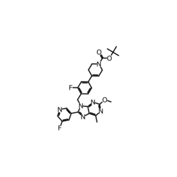 COc1nc(C)c2nc(-c3cncc(F)c3)n(Cc3ccc(C4=CCN(C(=O)OC(C)(C)C)CC4)cc3F)c2n1